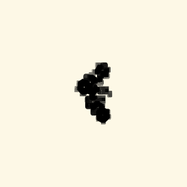 COC(=O)[C@H](Cc1ccccc1)NC(=O)c1c(C)n2c3c(cccc13)OC[C@@H]2CN1CCOCC1